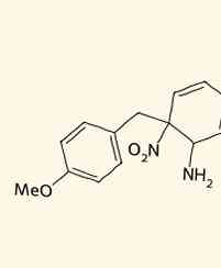 COc1ccc(CC2([N+](=O)[O-])C=CC=CC2N)cc1